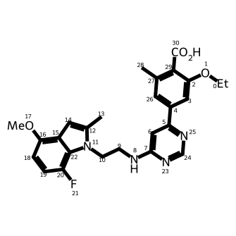 CCOc1cc(-c2cc(NCCn3c(C)cc4c(OC)ccc(F)c43)ncn2)cc(C)c1C(=O)O